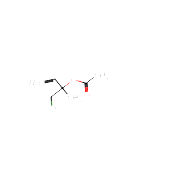 C=CC(C)(CCl)OC(C)=O